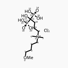 COCCCC[N+](C)(C)CCCC(O)(P(=O)(O)O)P(=O)(O)O.[Cl-]